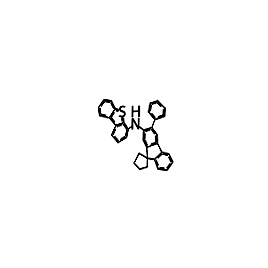 c1ccc(-c2cc3c(cc2Nc2cccc4c2sc2ccccc24)C2(CCCC2)c2ccccc2-3)cc1